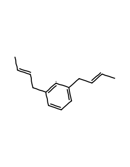 CC=CCc1[c]c(CC=CC)ccc1